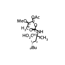 CC[C@@H](C)CC[C@](C)(NC(=O)O[C@H](OC(C)=O)C(C)OC)C(=O)O